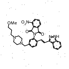 COCCCN1CCN(Cc2ccc(C=Cc3n[nH]c4ccccc34)c(N3C(=O)c4cccc([N+](=O)[O-])c4C3=O)c2)CC1